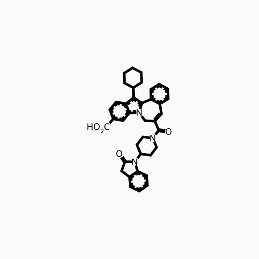 O=C(O)c1ccc2c(C3CCCCC3)c3n(c2c1)CC(C(=O)N1CCC(N2C(=O)Cc4ccccc42)CC1)=Cc1ccccc1-3